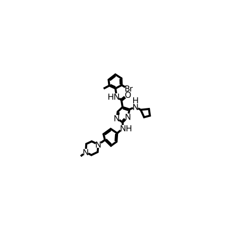 Cc1cccc(Br)c1NC(=O)c1cnc(Nc2ccc(N3CCN(C)CC3)cc2)nc1NC1CCC1